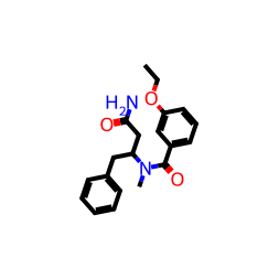 CCOc1cccc(C(=O)N(C)C(CC(N)=O)Cc2ccccc2)c1